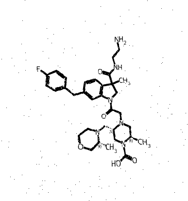 C[C@@H]1COCCN1C[C@H]1CN(C(=O)O)[C@H](C)CN1CC(=O)N1CC(C)(C(=O)NCCN)c2ccc(Cc3ccc(F)cc3)cc21